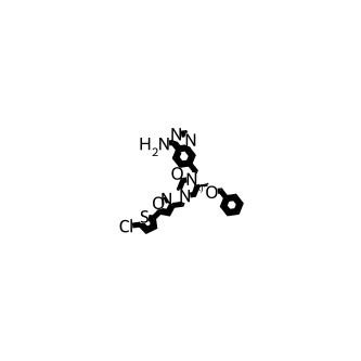 Nc1ncnc2cc(CN3C(=O)CN(Cc4cc(-c5ccc(Cl)s5)on4)C[C@@H]3COCc3ccccc3)ccc12